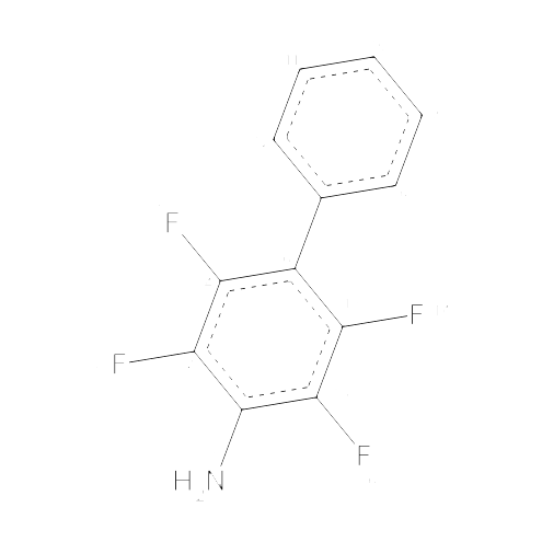 Nc1c(F)c(F)c(-c2ccccc2)c(F)c1F